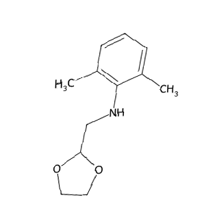 Cc1cccc(C)c1NCC1OCCO1